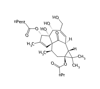 CCCCCC(=O)O[C@H]1C(C)=C[C@]23C(=O)[C@@H](C=C(CO)[C@@H](O)[C@]12O)[C@@H]1C(C)(C)[C@]1(OC(=O)CCC)C[C@H]3C